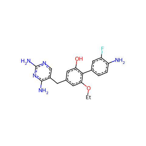 CCOc1cc(Cc2cnc(N)nc2N)cc(O)c1-c1ccc(N)c(F)c1